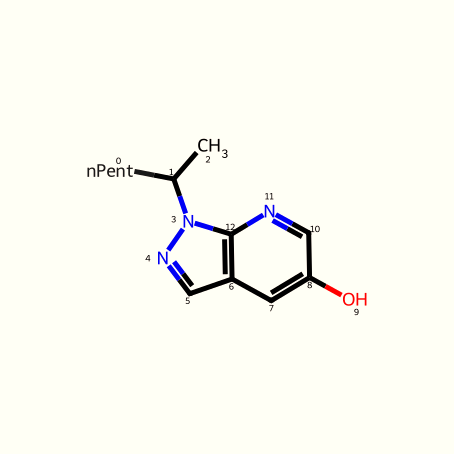 CCCCCC(C)n1ncc2cc(O)cnc21